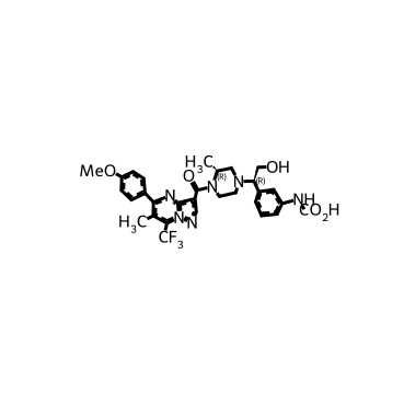 COc1ccc(-c2nc3c(C(=O)N4CCN([C@@H](CO)c5cccc(NC(=O)O)c5)C[C@H]4C)cnn3c(C(F)(F)F)c2C)cc1